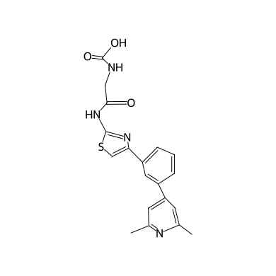 Cc1cc(-c2cccc(-c3csc(NC(=O)CNC(=O)O)n3)c2)cc(C)n1